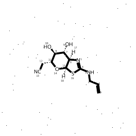 C=CCNC1=N[C@@H]2[C@@H](O)[C@H](O)[C@@H](CC#N)O[C@@H]2S1